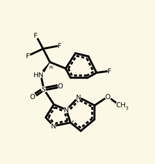 COc1ccc2ncc(S(=O)(=O)N[C@H](c3ccc(F)cc3)C(F)(F)F)n2n1